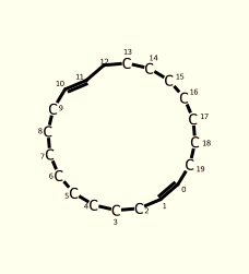 C1=C\CCCCCCCC/C=C/CCCCCCCC/1